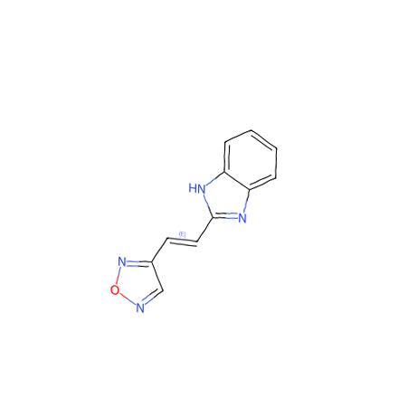 C(=C\c1nc2ccccc2[nH]1)/c1cnon1